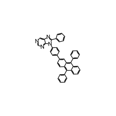 c1ccc(-c2c3ccccc3c(-c3ccccc3)c3cc(-c4ccc(-n5c(-c6ccccc6)nc6cncnc65)cc4)ccc23)cc1